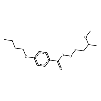 CCCCOc1ccc(C(=O)OO[CH]CC(C)OC)cc1